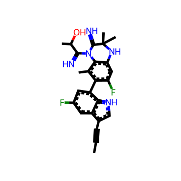 CC#Cc1c[nH]c2c(-c3c(F)cc4c(c3C)N(C(=N)C(C)O)C(=N)C(C)(C)N4)cc(F)cc12